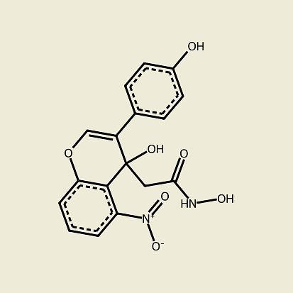 O=C(CC1(O)C(c2ccc(O)cc2)=COc2cccc([N+](=O)[O-])c21)NO